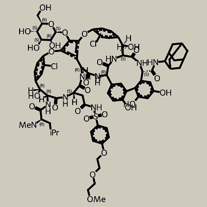 CN[C@H](CC(C)C)C(=O)N[C@H]1C(=O)N[C@@H](CC(=O)NS(=O)(=O)c2ccc(OCCOCCOC)cc2)C(=O)N[C@H]2C(=O)N[C@H]3C(=O)N[C@H](C(=O)N[C@H](C(=O)NC4C5CC6CC(C5)CC4C6)c4cc(O)cc(O)c4-c4cc3ccc4O)[C@H](O)c3ccc(c(Cl)c3)Oc3cc2cc(c3O[C@@H]2O[C@H](CO)[C@@H](O)[C@H](O)[C@H]2O)Oc2ccc(cc2Cl)[C@H]1O